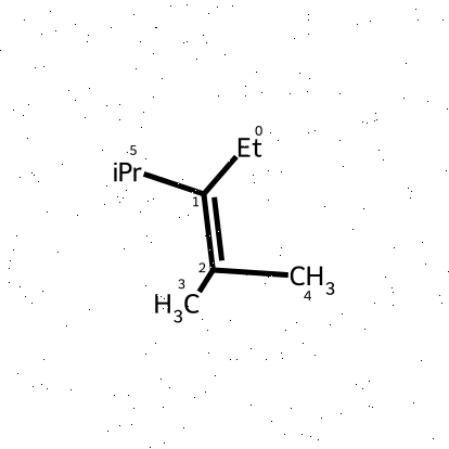 CCC(=C(C)C)C(C)C